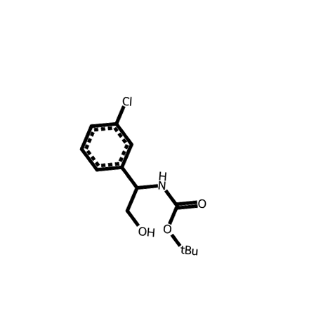 CC(C)(C)OC(=O)NC(CO)c1cccc(Cl)c1